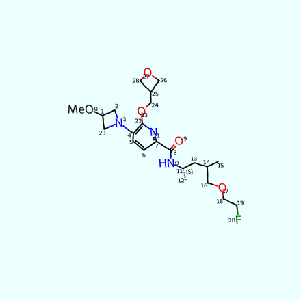 COC1CN(c2ccc(C(=O)N[C@@H](C)CC(C)COCCF)nc2OCC2COC2)C1